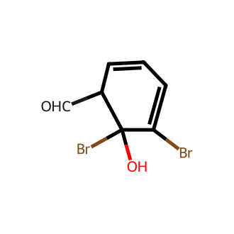 O=CC1C=CC=C(Br)C1(O)Br